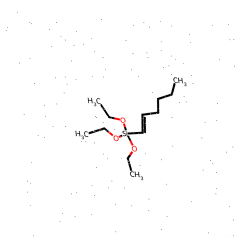 CCCCC=C[Si](OCC)(OCC)OCC